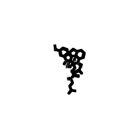 CC[C@]12C=CCN3CC[C@@]4(c5ccc(OC)cc5N(C)[C@H]4C(O)(COC(=O)NCCC(C)C)[C@@H]1OC(C)=O)[C@@H]32